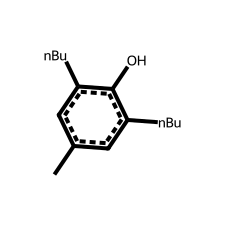 CCCCc1cc(C)cc(CCCC)c1O